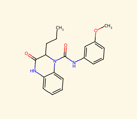 CCCC1C(=O)Nc2ccccc2N1C(=O)Nc1cccc(OC)c1